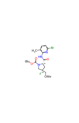 COC[C@]1(F)C[C@@H](C(=O)Nc2nc(Br)ccc2C)N(C(=O)OC(C)(C)C)C1